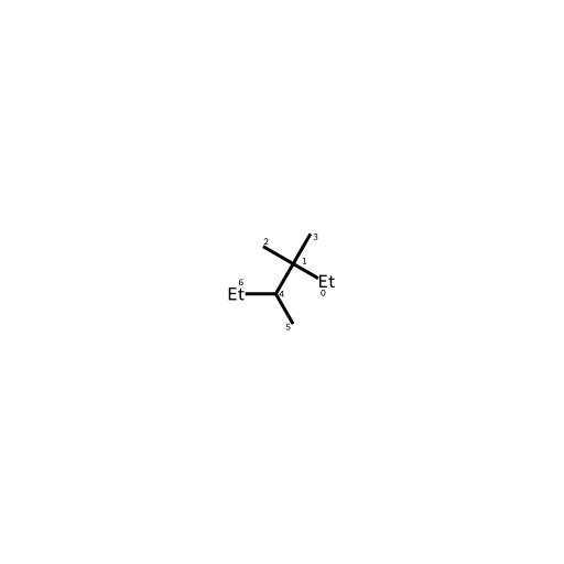 [CH2]CC(C)(C)C(C)CC